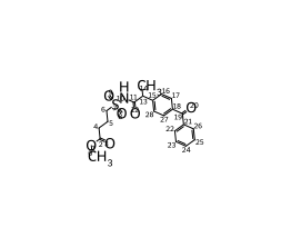 COC(=O)CCCS(=O)(=O)NC(=O)C(C)c1ccc(C(=O)c2ccccc2)cc1